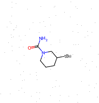 CC(C)(C)C1CCCN(C(N)=O)C1